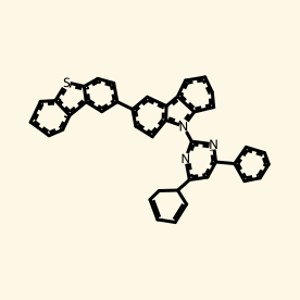 C1=CCC(c2cc(-c3ccccc3)nc(-n3c4ccccc4c4cc(-c5ccc6sc7ccccc7c6c5)ccc43)n2)C=C1